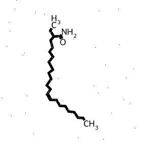 CCCCCCCC/C=C\CCCCCCCCCCC(CC)C(N)=O